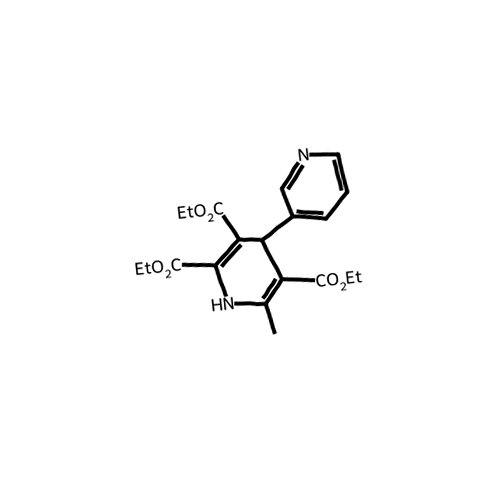 CCOC(=O)C1=C(C(=O)OCC)C(c2cccnc2)C(C(=O)OCC)=C(C)N1